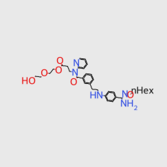 CCCCCCON=C(N)c1ccc(NCCc2cccc(C(=O)N(CCC(=O)OCCOCCO)c3ccccn3)c2)cc1